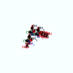 COc1ccc([C@H]2Sc3cc(Cl)ccc3N(CCN)C(=O)[C@H]2OC(C)=O)cc1.COc1ccc([C@H]2Sc3cc(Cl)ccc3N(CCN)C(=O)[C@H]2OC(C)=O)cc1.COc1ccc([C@H]2Sc3cc(Cl)ccc3N(CCN)C(=O)[C@H]2OC(C)=O)cc1.O=C(O)/C=C/C(=O)O.O=C(O)/C=C/C(=O)O.O=C(O)/C=C/C(=O)O.O=C(O)/C=C/C(=O)O